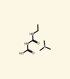 CCNC(=O)NC(=O)O.CN(C)C